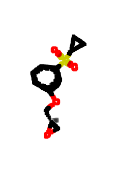 O=S(=O)([C]1CC1)c1cccc(OC[C@@H]2CO2)c1